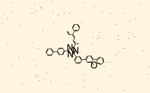 C=C/C(=C\C=C(/C)c1nc(-c2ccc(-c3ccccc3)cc2)nc(-c2cccc(-c3ccc4c(c3)oc3ccccc34)c2)n1)c1ccccc1